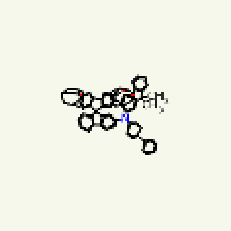 CC1(C)c2ccccc2-c2ccc(N(c3ccc(-c4ccccc4)cc3)c3ccc4c(c3)C3(c5ccccc5-4)c4cc5c(cc4-c4cc6c(cc43)C3CC4CC(CC6C4)C3)C3CC4CC(C3)CC5C4)cc21